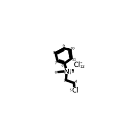 C[N+](C)(CCCl)c1ccccc1.[Cl-]